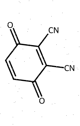 N#CC1=C(C#N)C(=O)C=CC1=O